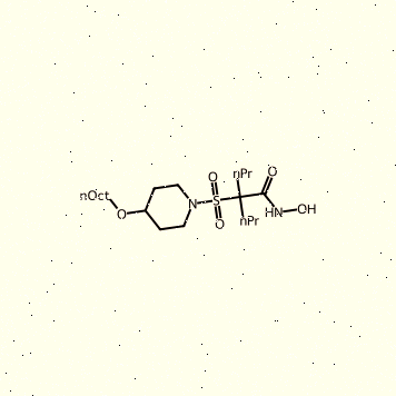 CCCCCCCCOC1CCN(S(=O)(=O)C(CCC)(CCC)C(=O)NO)CC1